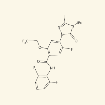 CCC(C)n1c(C)nn(-c2cc(OCC(F)(F)F)c(C(=O)Nc3c(F)cccc3F)cc2F)c1=O